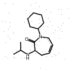 CC(C)NC1CC=CCN(C2CCCCC2)C1=O